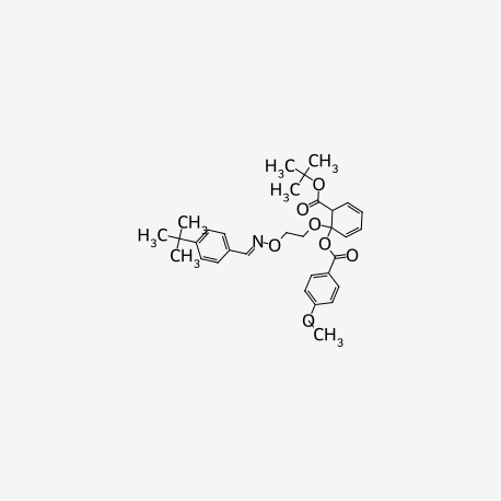 COc1ccc(C(=O)OC2(OCCO/N=C/c3ccc(C(C)(C)C)cc3)C=CC=CC2C(=O)OC(C)(C)C)cc1